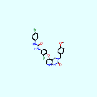 COc1ccc(CN2Cc3c(Oc4ccc(NC(=O)Nc5ccc(Br)cc5)cc4F)ccnc3NC2=O)cc1